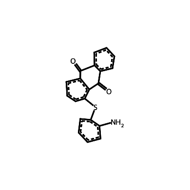 Nc1ccccc1Sc1cccc2c1C(=O)c1ccccc1C2=O